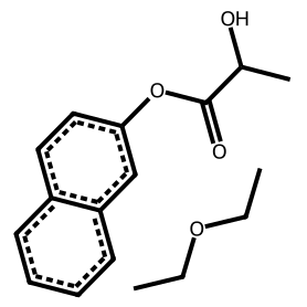 CC(O)C(=O)Oc1ccc2ccccc2c1.CCOCC